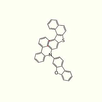 c1ccc(-c2ccccc2N(c2ccc3c(c2)oc2ccccc23)c2ccc3c(c2)sc2ccc4ccccc4c23)cc1